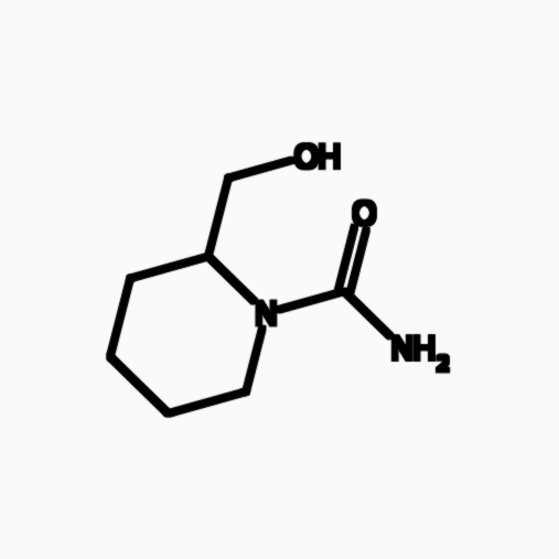 NC(=O)N1CCCCC1CO